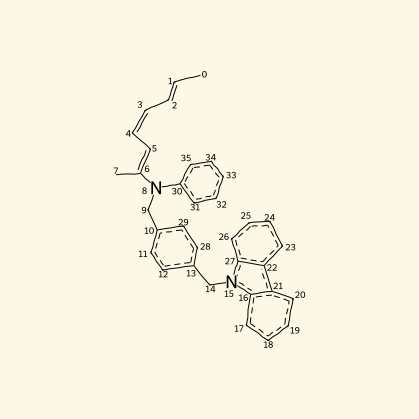 C/C=C/C=C\C=C(/C)N(Cc1ccc(Cn2c3ccccc3c3ccccc32)cc1)c1ccccc1